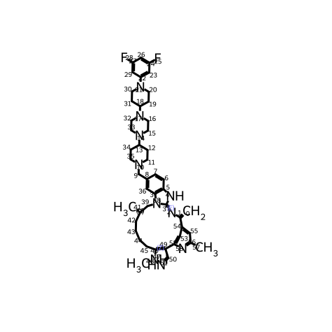 C=C1/N=C2\Nc3ccc(CN4CCC(N5CCN(C6CCN(c7cc(F)cc(F)c7)CC6)CC5)CC4)cc3N2C[C@H](C)CCCC/C(NC)=C(/C=N)c2cc1cc(C)n2